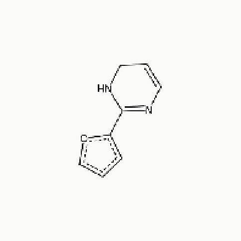 C1=CN=C(c2ccco2)NC1